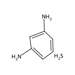 Nc1cccc(N)c1.S